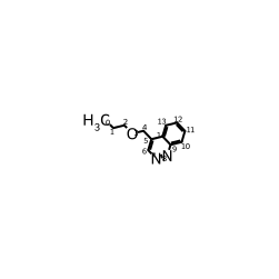 CCCOCc1cnnc2ccccc12